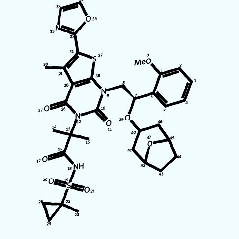 COc1ccccc1[C@H](Cn1c(=O)n(C(C)(C)C(=O)NS(=O)(=O)C2(C)CC2)c(=O)c2c(C)c(-c3ncco3)sc21)OC1CC2CCC(C1)O2